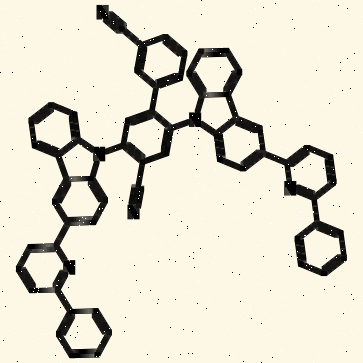 N#Cc1cccc(-c2cc(-n3c4ccccc4c4cc(-c5cccc(-c6ccccc6)n5)ccc43)c(C#N)cc2-n2c3ccccc3c3cc(-c4cccc(-c5ccccc5)n4)ccc32)c1